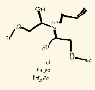 C=CC[NH+](C(O)COCC)C(O)COCC.[Cl-].[PoH2].[PoH2]